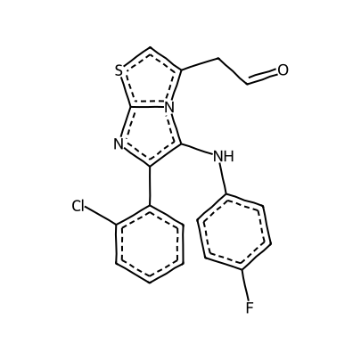 O=CCc1csc2nc(-c3ccccc3Cl)c(Nc3ccc(F)cc3)n12